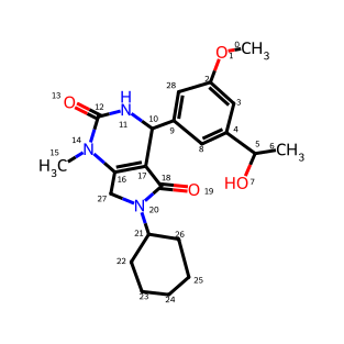 COc1cc(C(C)O)cc(C2NC(=O)N(C)C3=C2C(=O)N(C2CCCCC2)C3)c1